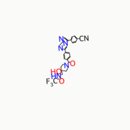 N#Cc1ccc(-c2cnc3cnc(-c4ccc(C(=O)N5CCC(O)(CNC(=O)C(F)(F)F)CC5)cc4)cn23)cc1